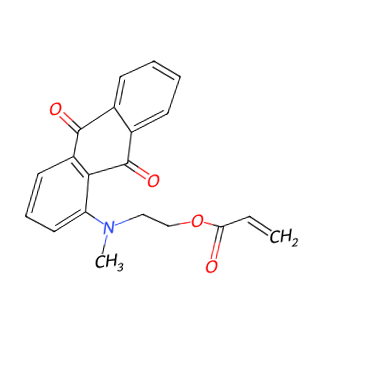 C=CC(=O)OCCN(C)c1cccc2c1C(=O)c1ccccc1C2=O